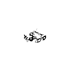 C[C@H](COCC[C@@H](C)Oc1nccc(-c2nn(C3CCCCO3)c3ccc(O[Si](C)(C)C(C)(C)C)cc23)n1)OCc1ccccc1